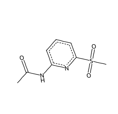 CC(=O)Nc1cccc(S(C)(=O)=O)n1